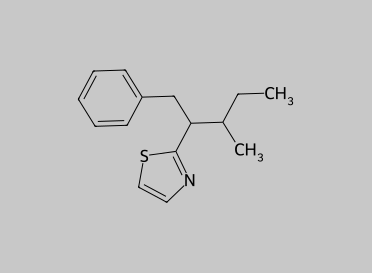 CCC(C)C(Cc1ccccc1)c1nccs1